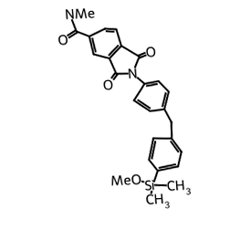 CNC(=O)c1ccc2c(c1)C(=O)N(c1ccc(Cc3ccc([Si](C)(C)OC)cc3)cc1)C2=O